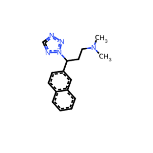 CN(C)CCC(c1ccc2ccccc2c1)n1ncnn1